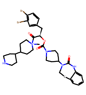 C[N+]1(C(=O)[C@@H](Cc2ccc(Br)c(Br)c2)OC(=O)N2CCC(N3CCc4ccccc4NC3=O)CC2)CCC(C2CCNCC2)CC1